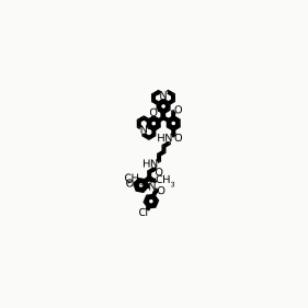 COc1ccc2c(c1)c(CC(=O)NCCCCCNC(=O)c1ccc(C=O)c(C3=c4cc5c6c(c4Oc4c3cc3c7c4CCCN7CCC3)CCC[N+]=6CCC5)c1)c(C)n2C(=O)c1ccc(Cl)cc1